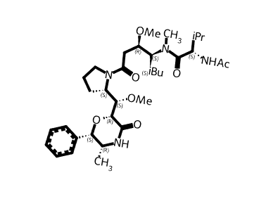 CC[C@H](C)[C@@H]([C@@H](CC(=O)N1CCC[C@H]1[C@H](OC)[C@H]1O[C@@H](c2ccccc2)[C@@H](C)NC1=O)OC)N(C)C(=O)[C@@H](NC(C)=O)C(C)C